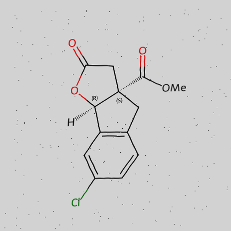 COC(=O)[C@@]12CC(=O)O[C@@H]1c1cc(Cl)ccc1C2